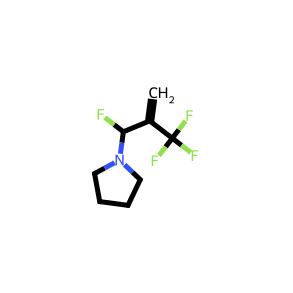 C=C(C(F)N1CCCC1)C(F)(F)F